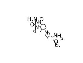 CCOCC(N)C1CN(c2ccc3c(=O)n(N)c(=O)n(C4CC4)c3c2C)CC1C